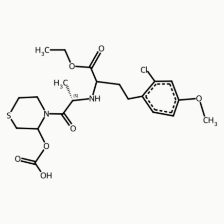 CCOC(=O)C(CCc1ccc(OC)cc1Cl)N[C@@H](C)C(=O)N1CCSCC1OC(=O)O